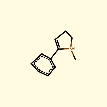 C[SH]1CCC=C1c1ccccc1